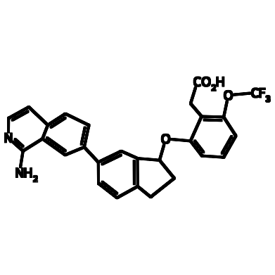 Nc1nccc2ccc(-c3ccc4c(c3)C(Oc3cccc(OC(F)(F)F)c3CC(=O)O)CC4)cc12